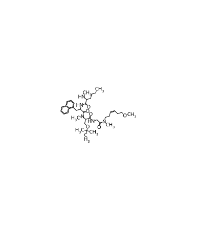 CCCCC(NC)C(=O)NC(Cc1cccc2ccccc12)C(=O)N(C)C(COC(C)(C)C)C(=O)NCC(=O)N(C)CC/C=C\CCOC